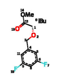 CC[C@H](C)[C@H](OCc1cc(F)cc(F)c1)C(=O)OC